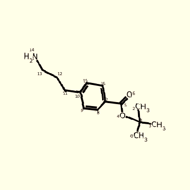 CC(C)(C)OC(=O)c1ccc(CCCN)cc1